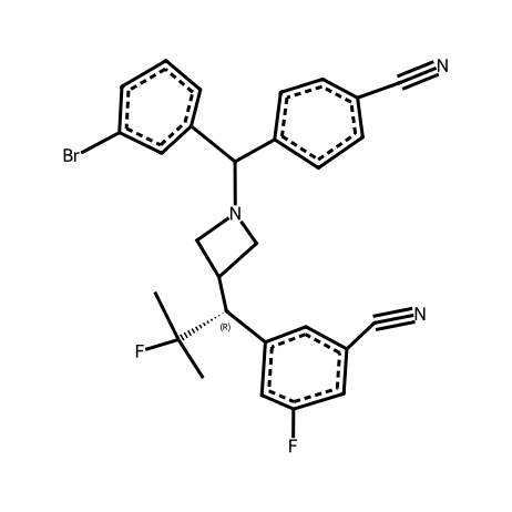 CC(C)(F)[C@@H](c1cc(F)cc(C#N)c1)C1CN(C(c2ccc(C#N)cc2)c2cccc(Br)c2)C1